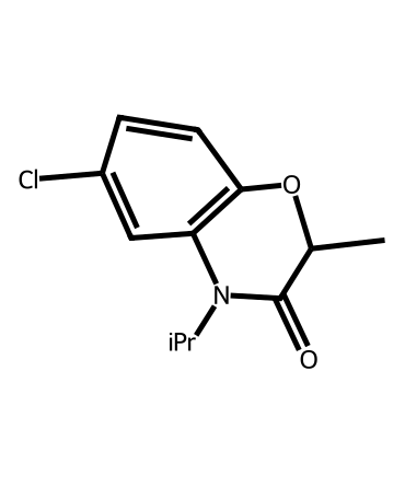 CC1Oc2ccc(Cl)cc2N(C(C)C)C1=O